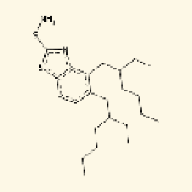 CCCCC(CC)Cc1ccc2sc(SN)nc2c1CC(CC)CCCC